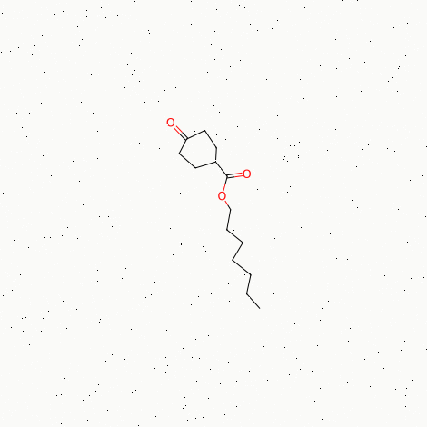 CCCCCCCOC(=O)C1CCC(=O)CC1